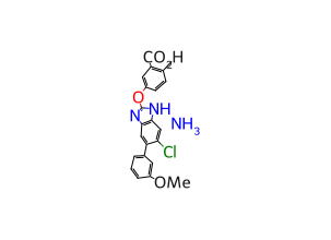 COc1cccc(-c2cc3nc(Oc4ccc(C)c(C(=O)O)c4)[nH]c3cc2Cl)c1.N